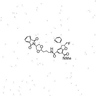 CNC(=O)c1cc(C(=O)NCCCC2OCC(N3C(=O)c4ccccc4C3=O)CO2)cc2c1O[C@H](CF)[C@H]2c1ccccc1